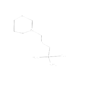 CC(C)(C)COCN1CCCCC1